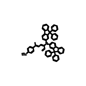 C=C/C(=C\C=C(/C)c1ccc(C(C)(C)C)cc1)N(c1ccc2c(c1)C(c1ccccc1)(c1ccccc1)c1ccccc1-2)c1ccc2c(c1)C(c1ccccc1)(c1ccccc1)c1ccccc1-2